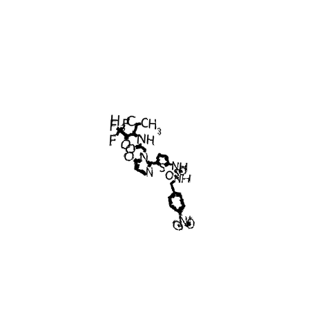 CC(C)C(NC(=O)Cn1c(-c2ccc(NS(=O)(=O)NCc3ccc([N+](=O)[O-])cc3)s2)nccc1=O)C(=O)C(F)(F)F